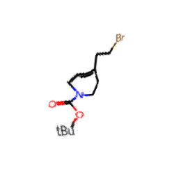 CC(C)(C)OC(=O)N1CC=C(CCBr)CC1